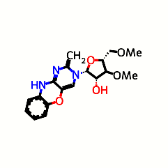 C=C1N=C2Nc3ccccc3OC2=CN1[C@@H]1O[C@H](COC)C(OC)[C@@H]1O